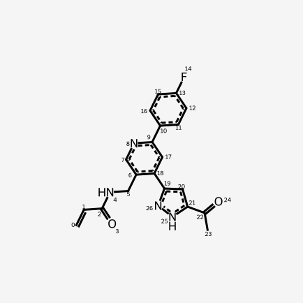 C=CC(=O)NCc1cnc(-c2ccc(F)cc2)cc1-c1cc(C(C)=O)[nH]n1